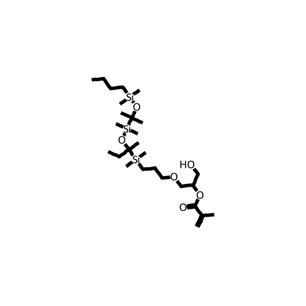 C=C(C)C(=O)OC(CO)COCCC[Si](C)(C)C(C)(CC)O[Si](C)(C)C(C)(C)O[Si](C)(C)CCCC